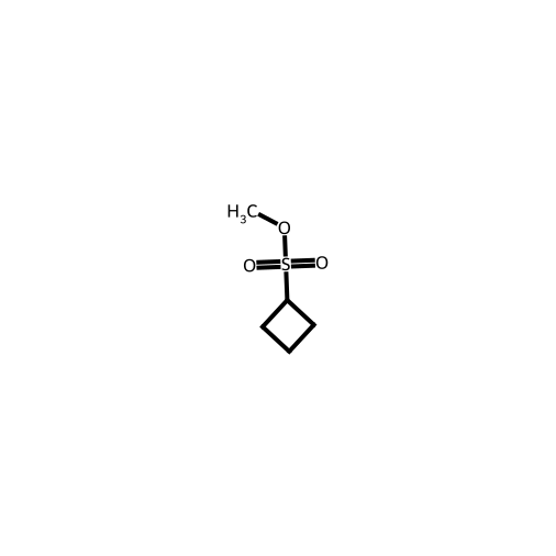 COS(=O)(=O)C1CCC1